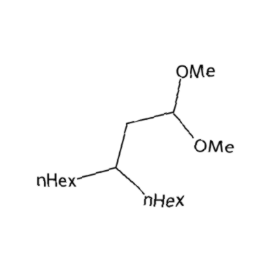 CCCCCCC(CCCCCC)CC(OC)OC